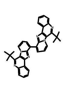 CC(C)(C)c1nc2ccccc2c2nc3c(-c4cccn5c4nc4c6ccccc6nc(C(C)(C)C)c45)cccn3c12